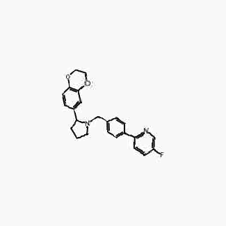 Fc1ccc(-c2ccc(CN3CCCC3c3ccc4c(c3)OCCO4)cc2)nc1